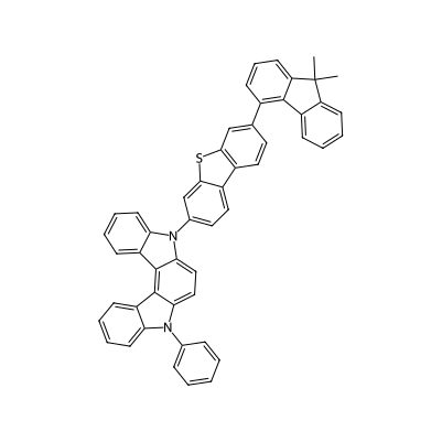 CC1(C)c2ccccc2-c2c(-c3ccc4c(c3)sc3cc(-n5c6ccccc6c6c7c8ccccc8n(-c8ccccc8)c7ccc65)ccc34)cccc21